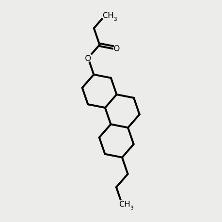 CCCC1CCC2C(CCC3CC(OC(=O)CC)CCC32)C1